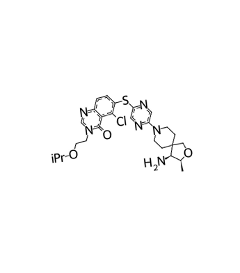 CC(C)OCCn1cnc2ccc(Sc3cnc(N4CCC5(CC4)CO[C@@H](C)[C@H]5N)cn3)c(Cl)c2c1=O